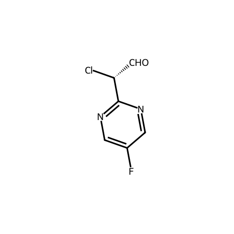 O=C[C@@H](Cl)c1ncc(F)cn1